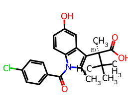 Cc1c([C@@](C)(C(=O)O)C(C)(C)C)c2cc(O)ccc2n1C(=O)c1ccc(Cl)cc1